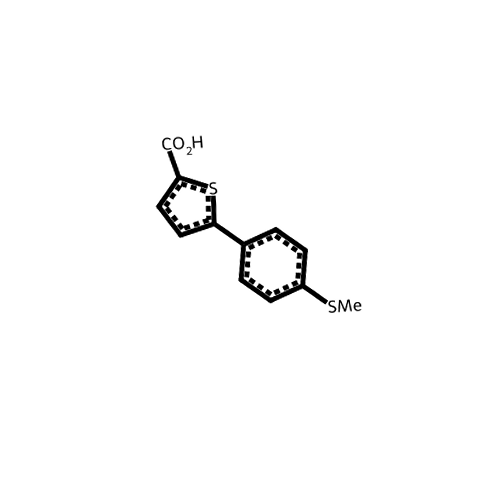 CSc1ccc(-c2ccc(C(=O)O)s2)cc1